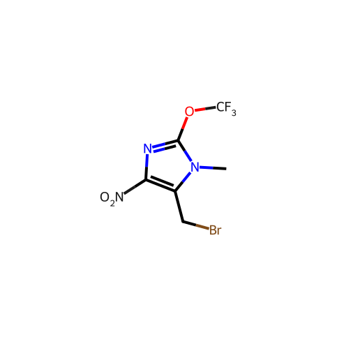 Cn1c(OC(F)(F)F)nc([N+](=O)[O-])c1CBr